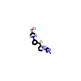 CCOc1cnc(-c2cccc(C(=O)C3=CC=CN(c4cnn(C)c4)N3)c2)nc1